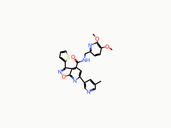 COc1ccc(CNC(=O)c2cc(-c3cncc(C)c3)nc3onc(-c4cccs4)c23)nc1OC